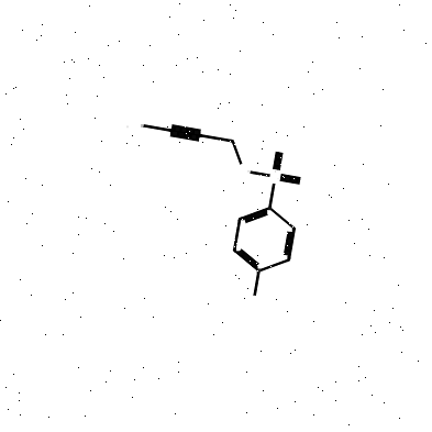 CCCCC#CCOS(=O)(=O)c1ccc(C)cc1